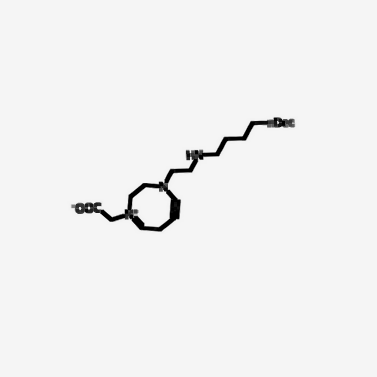 CCCCCCCCCCCCCCNCCN1C#CCC=[N+](CC(=O)[O-])CC1